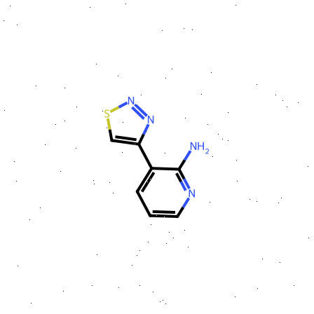 Nc1ncccc1-c1csnn1